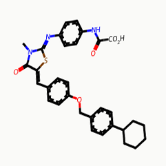 CN1C(=O)C(=Cc2ccc(OCc3ccc(C4CCCCC4)cc3)cc2)SC1=Nc1ccc(NC(=O)C(=O)O)cc1